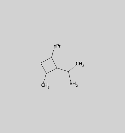 BC(C)C1C(C)CC1CCC